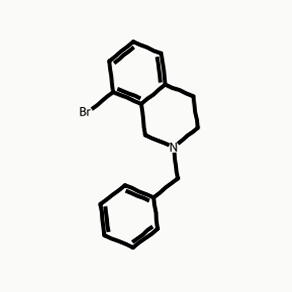 Brc1cccc2c1CN(Cc1ccccc1)CC2